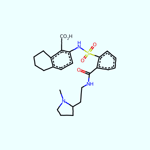 CN1CCCC1CCNC(=O)c1ccccc1S(=O)(=O)Nc1ccc2c(c1C(=O)O)CCCC2